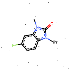 CC(C)n1c(=O)n(C)c2cc(F)ccc21